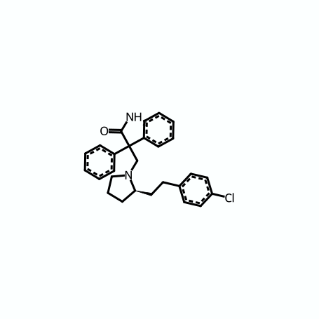 NC(=O)C(CN1CCC[C@@H]1CCc1ccc(Cl)cc1)(c1ccccc1)c1ccccc1